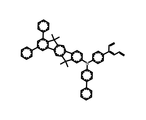 C=C/C=C(\C=C)c1ccc(N(c2ccc(-c3ccccc3)cc2)c2ccc3c(c2)C(C)(C)c2cc4c(cc2-3)C(C)(C)c2c(-c3ccccc3)cc(-c3ccccc3)cc2-4)cc1